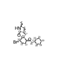 O=C1NC(=S)SC1=Cc1cc(Br)ccc1OCc1ccccc1